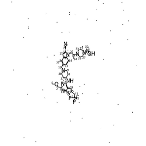 COCc1nc(NC2CCN(Cc3ccc4c(cc(C#N)n4CC(C)N4CCN(N(C)O)CC4)c3C)CC2)c2cc(CC(F)(F)F)sc2n1